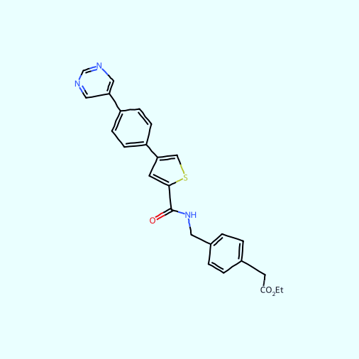 CCOC(=O)Cc1ccc(CNC(=O)c2cc(-c3ccc(-c4cncnc4)cc3)cs2)cc1